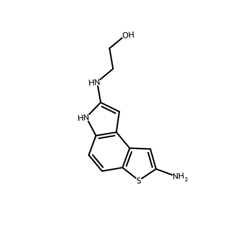 Nc1cc2c(ccc3[nH]c(NCCO)cc32)s1